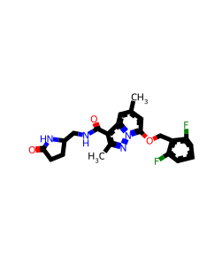 Cc1cc(OCc2c(F)cccc2F)n2nc(C)c(C(=O)NCC3CCC(=O)N3)c2c1